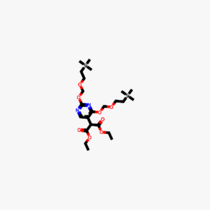 CCOC(=O)C(C(=O)OCC)c1cnc(OCOCC[Si](C)(C)C)nc1OCOCC[Si](C)(C)C